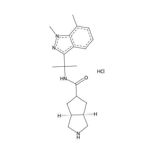 Cc1cccc2c(C(C)(C)NC(=O)C3C[C@H]4CNC[C@H]4C3)nn(C)c12.Cl